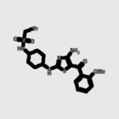 COc1ccccc1C(=O)c1sc(NC2CCC(NS(=O)(=O)CC(C)C)CC2)nc1N